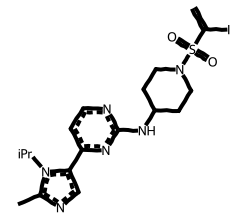 C=C(I)S(=O)(=O)N1CCC(Nc2nccc(-c3cnc(C)n3C(C)C)n2)CC1